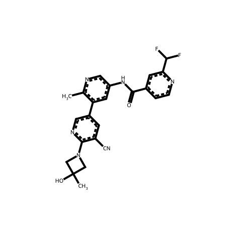 Cc1ncc(NC(=O)c2ccnc(C(F)F)c2)cc1-c1cnc(N2CC(C)(O)C2)c(C#N)c1